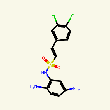 Nc1ccc(N)c(NS(=O)(=O)/C=C/c2ccc(Cl)c(Cl)c2)c1